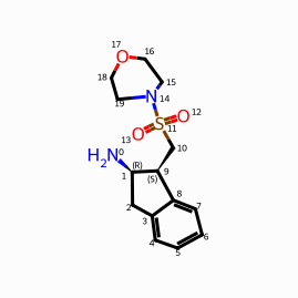 N[C@@H]1Cc2ccccc2[C@@H]1CS(=O)(=O)N1CCOCC1